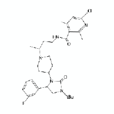 Cc1cc(Cl)nc(C)c1C(=O)NCCC(C)N1CCC(N2C(=O)N(C(C)(C)C)CC2c2cccc(F)c2)CC1